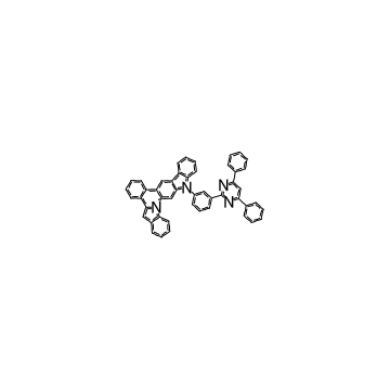 c1ccc(-c2cc(-c3ccccc3)nc(-c3cccc(-n4c5ccccc5c5cc6c7ccccc7c7cc8ccccc8n7c6cc54)c3)n2)cc1